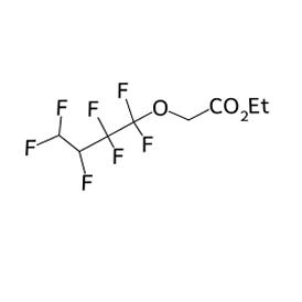 CCOC(=O)COC(F)(F)C(F)(F)C(F)C(F)F